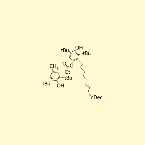 CCCCCCCCCCCCCCCCCCc1c(OC(=O)CC)cc(C(C)(C)C)c(O)c1C(C)(C)C.Cc1cc(C(C)(C)C)c(O)c(C(C)(C)C)c1